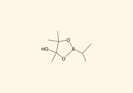 CC(C)B1OC(C)(C)C(C)(O)O1